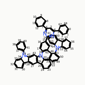 c1ccc(-c2cc(-c3ccccc3)nc(-c3ccc(-n4c5ccccc5c5cc6c7ccccc7n(-c7ccccc7)c6cc54)c(-c4ccccc4-n4c5ccccc5c5ccccc54)c3)n2)cc1